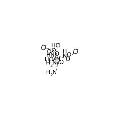 Cl.NCCC[C@H](N)C(=O)N(CCNC(=O)OCc1ccccc1)[C@@H](CO)C(=O)NC(=O)OCc1ccccc1